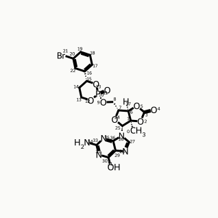 C[C@@]12OC(=O)O[C@@H]1[C@@H](CO[P@]1(=O)OCC[C@H](c3cccc(Br)c3)O1)O[C@H]2n1cnc2c(O)nc(N)nc21